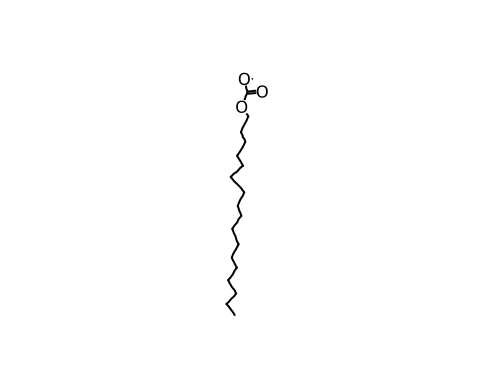 CCCCCCCCCCCCCCCCCOC([O])=O